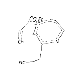 C#CC(=O)OCC.N#CCc1ccccn1